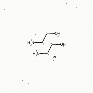 NCCO.NCCO.[Pt]